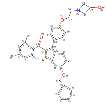 Cc1cc(F)cc(C)c1C(=O)c1sc2cc(OCc3ccccc3)ccc2c1-c1ccc(OCCN2CC(O)C2)cc1